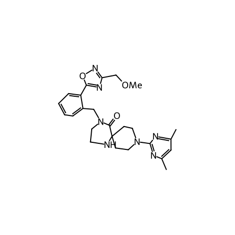 COCc1noc(-c2ccccc2CN2CCNC3(CCN(c4nc(C)cc(C)n4)CC3)C2=O)n1